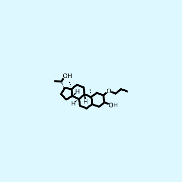 CCCOC1C[C@@]2(C)C(CC[C@H]3[C@@H]4CC[C@H](C(C)O)[C@@]4(C)CC[C@@H]32)CC1O